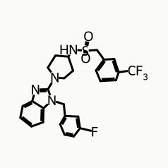 O=S(=O)(Cc1cccc(C(F)(F)F)c1)NC1CCN(c2nc3ccccc3n2Cc2cccc(F)c2)CC1